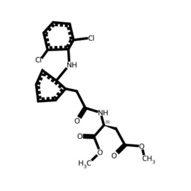 COC(=O)C[C@H](NC(=O)Cc1ccccc1Nc1c(Cl)cccc1Cl)C(=O)OC